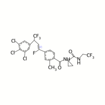 Cc1cc(/C(F)=C/C(c2cc(Cl)c(Cl)c(Cl)c2)C(F)(F)F)ccc1C(=O)NC1(C(=O)NCC(F)(F)F)CC1